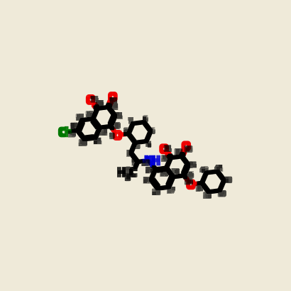 CC(CC1CCCCC1OC1=CC(=O)C(=O)c2cc(Cl)ccc21)Nc1cccc2c1C(=O)C(=O)C=C2OC1CCCCC1